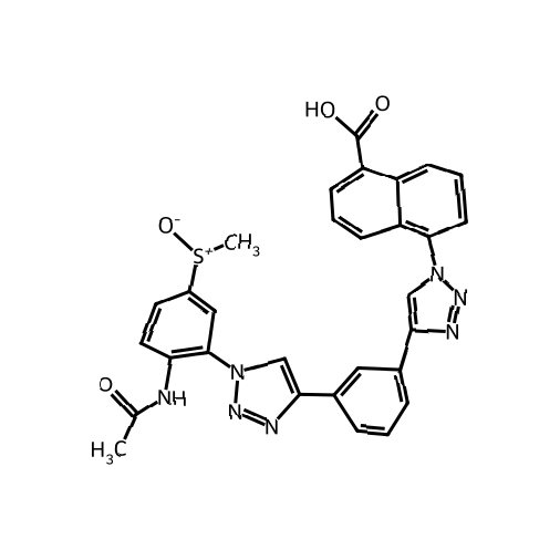 CC(=O)Nc1ccc([S+](C)[O-])cc1-n1cc(-c2cccc(-c3cn(-c4cccc5c(C(=O)O)cccc45)nn3)c2)nn1